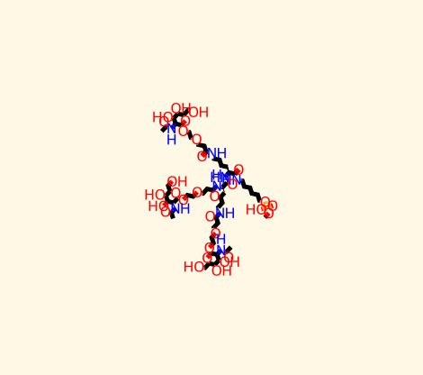 COP(=O)(O)OCCCCCCNC(=O)[C@H](CCCCNC(=O)CCOCCOC1OC(CO)C(O)C(O)C1NC(C)=O)NC(=O)[C@H](CCCCNC(=O)CCOCCOC1OC(CO)C(O)C(O)C1NC(C)=O)NC(=O)CCOCCOC1OC(CO)C(O)C(O)C1NC(C)=O